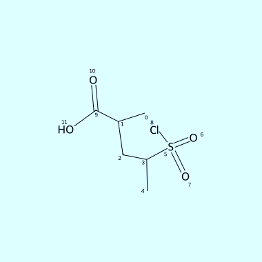 CC(CC(C)S(=O)(=O)Cl)C(=O)O